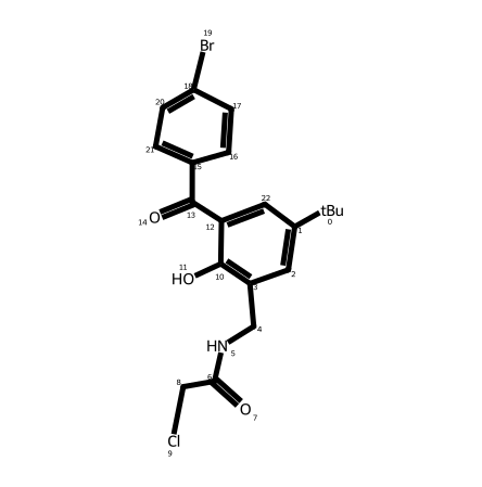 CC(C)(C)c1cc(CNC(=O)CCl)c(O)c(C(=O)c2ccc(Br)cc2)c1